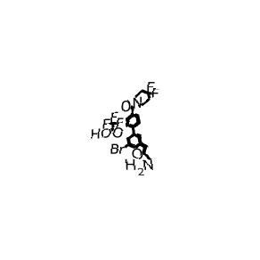 NCc1cc2cc(-c3ccc(C(=O)N4CCC(F)(F)CC4)cc3)cc(Br)c2o1.O=C(O)C(F)(F)F